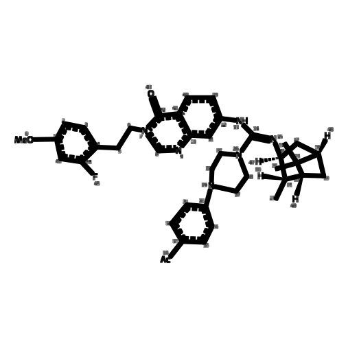 COc1ccc(CCn2cnc3cc(N/C(=N/[C@H]4C[C@@H]5C[C@H]([C@@H]4C)C5(C)C)N4CCN(c5ccc(C(C)=O)cc5)CC4)ccc3c2=O)c(F)c1